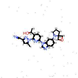 Cc1cc(C#N)nn1-c1nc(-n2cnc3ccc(N4CCCC45COC5)cc32)ccc1C(C)O